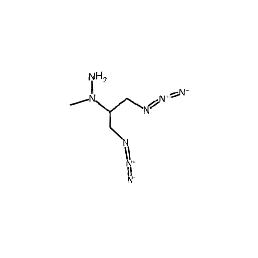 CN(N)C(CN=[N+]=[N-])CN=[N+]=[N-]